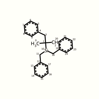 CC(C)(Cc1ccccc1)[Si](Cc1ccccc1)Cc1ccccc1